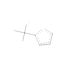 CC(Cl)(C=O)c1cccs1